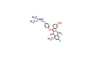 CCC(C)NCCc1ccc(Oc2c(C(=O)c3c(C)cc(F)cc3C)sc3cc(O)ccc23)cc1